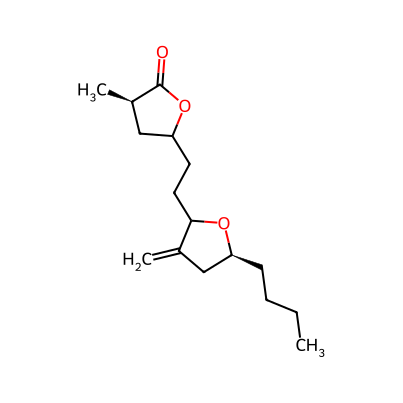 C=C1C[C@H](CCCC)OC1CCC1C[C@@H](C)C(=O)O1